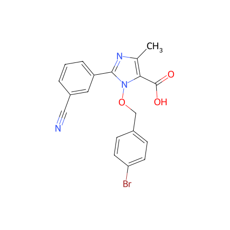 Cc1nc(-c2cccc(C#N)c2)n(OCc2ccc(Br)cc2)c1C(=O)O